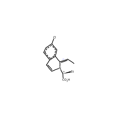 C/C=C1/c2cc(Cl)ccc2C=CN1[C@@H](CC)C(=O)O